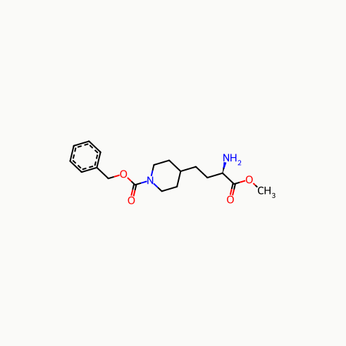 COC(=O)[C@H](N)CCC1CCN(C(=O)OCc2ccccc2)CC1